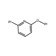 CC(C)Oc1cccc(C(C)C)n1